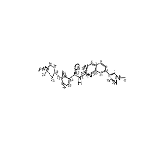 Cn1cc(-c2ccc3cnc(NC(=O)c4csc(C5CCNCC5)n4)nc3c2)cn1